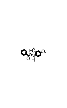 COc1ccc(NNC(=O)c2ccccc2)c(OC)c1